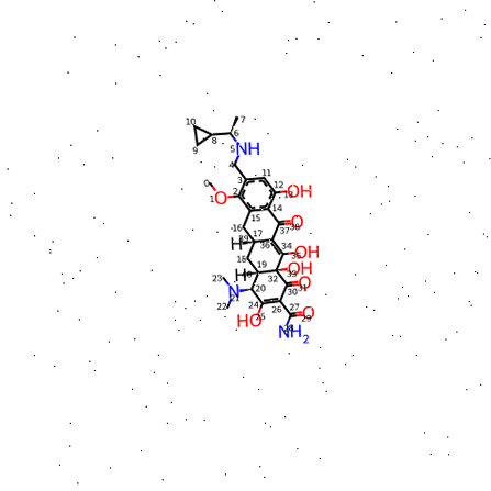 COc1c(CN[C@H](C)C2CC2)cc(O)c2c1C[C@H]1C[C@H]3[C@H](N(C)C)C(O)=C(C(N)=O)C(=O)[C@@]3(O)C(O)=C1C2=O